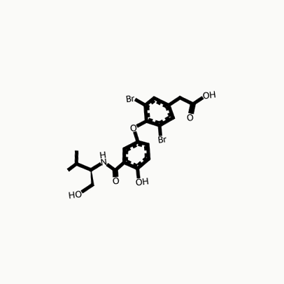 CC(C)[C@H](CO)NC(=O)c1cc(Oc2c(Br)cc(CC(=O)O)cc2Br)ccc1O